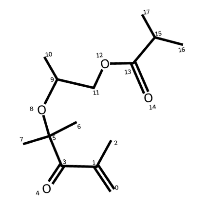 C=C(C)C(=O)C(C)(C)OC(C)COC(=O)C(C)C